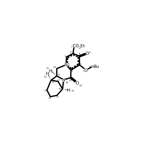 CCCCOc1c2n(cc(C(=O)OCC)c1=O)C[C@@H]1[C@@H]3CCC[C@@H](C3)N1C2=O